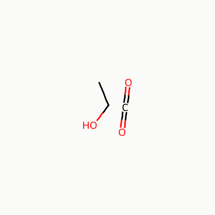 CCO.O=C=O